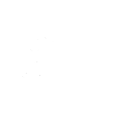 CC[C@]1(C(=O)O)C[C@H](N(C)C(C)C)CC[C@@H]1N1CC[C@H](NC(=O)c2ccc(-c3ccc(Cl)cc3)o2)C1=O